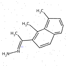 C/C(=N\N)c1ccc2cccc(C)c2c1C